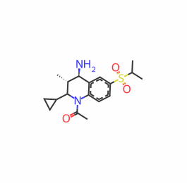 CC(=O)N1c2ccc(S(=O)(=O)C(C)C)cc2[C@H](N)[C@@H](C)C1C1CC1